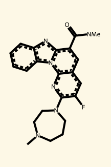 CNC(=O)c1cc2cc(F)c(N3CCCN(C)CC3)nc2n2c1nc1ccccc12